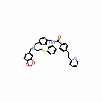 O=C(NCc1ccc(CN(CCSc2ccccc2)Cc2ccc3c(c2)OCO3)cc1)c1ccc(CCc2ccccn2)cc1